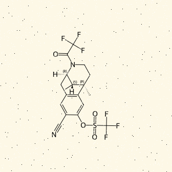 C[C@@H]1[C@H]2Cc3cc(C#N)c(OS(=O)(=O)C(F)(F)F)cc3[C@]1(C)CCN2C(=O)C(F)(F)F